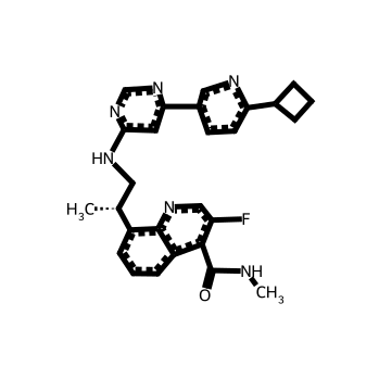 CNC(=O)c1c(F)cnc2c([C@H](C)CNc3cc(-c4ccc(C5CCC5)nc4)ncn3)cccc12